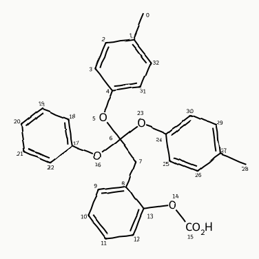 Cc1ccc(OC(Cc2ccccc2OC(=O)O)(Oc2ccccc2)Oc2ccc(C)cc2)cc1